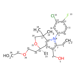 C=Cc1c(CO)c2c(n1-c1ccc(F)c(Cl)c1)C(C)(C)CO[C@]2(CC)CCOCC(=O)O